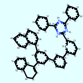 C1=C(c2cc(-c3cccc(-c4cccc(-c5nc(-c6ccccc6)nc(-c6ccccc6)n5)c4)c3)cc(-c3cccc4ccccc34)c2)c2ccccc2CC1